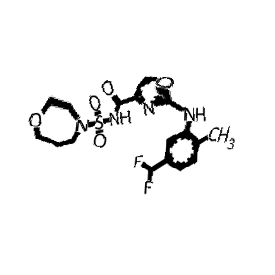 Cc1ccc(C(F)F)cc1Nc1nc(C(=O)NS(=O)(=O)N2CCCOCC2)co1